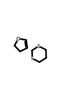 C1=COCC1.C1CSCSC1